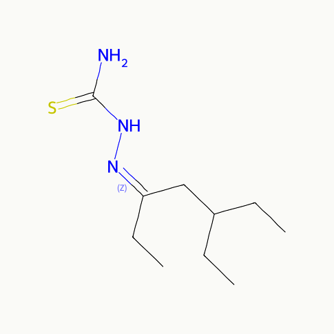 CC/C(CC(CC)CC)=N/NC(N)=S